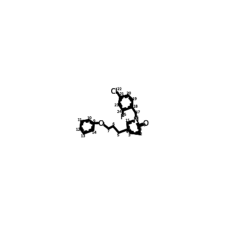 O=c1ccc(CCCOc2ccccc2)cn1Cc1ccc(Cl)cc1F